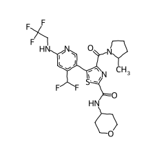 CC1CCCN1C(=O)c1nc(C(=O)NC2CCOCC2)sc1-c1cnc(NCC(F)(F)F)cc1C(F)F